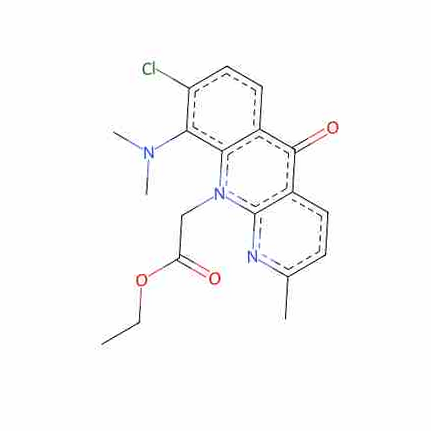 CCOC(=O)Cn1c2nc(C)ccc2c(=O)c2ccc(Cl)c(N(C)C)c21